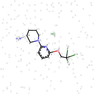 Cl.N[C@@H]1CCCN(c2cccc(OCC(F)(F)F)n2)C1